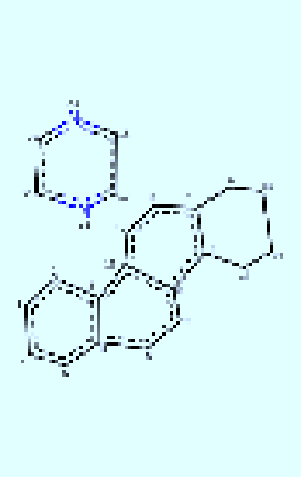 c1ccc2c(c1)ccc1c3c(ccc12)CCCC3.c1cnccn1